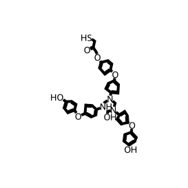 O=C(CS)COc1ccc(Oc2ccc(N(CNc3ccc(Oc4ccc(O)cc4)cc3)CN(CO)c3ccc(Oc4ccc(O)cc4)cc3)cc2)cc1